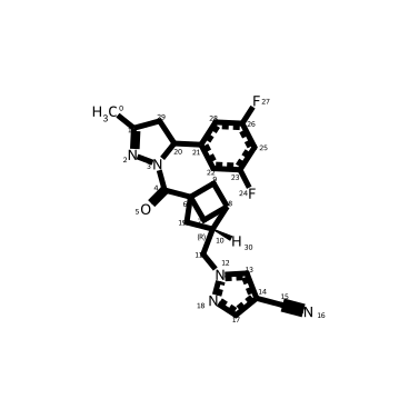 CC1=NN(C(=O)C23CC(C2)[C@H](Cn2cc(C#N)cn2)C3)C(c2cc(F)cc(F)c2)C1